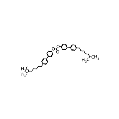 CC(C)CCCCCc1ccc(-c2ccc(OC(=O)Oc3ccc(-c4ccc(CCCCCC(C)C)cc4)cc3)cc2)cc1